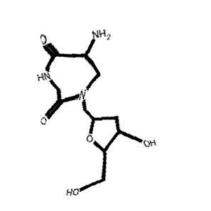 NC1CN(C2CC(O)C(CO)O2)C(=O)NC1=O